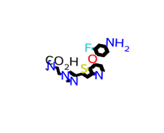 CN(CCn1cnc(-c2cc3nccc(Oc4ccc(N)cc4F)c3s2)c1)C(=O)O